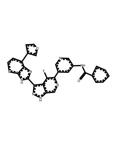 O=C(Nc1cncc(-c2ncc3[nH]nc(-c4nc5c(-c6ccoc6)ccnc5[nH]4)c3c2F)c1)c1ccccc1